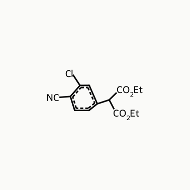 CCOC(=O)C(C(=O)OCC)c1ccc(C#N)c(Cl)c1